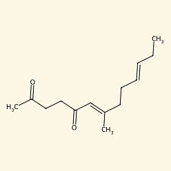 CCC=CCCC(C)=CC(=O)CCC(C)=O